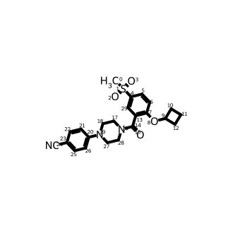 CS(=O)(=O)c1ccc(OC2CCC2)c(C(=O)N2CCN(c3ccc(C#N)cc3)CC2)c1